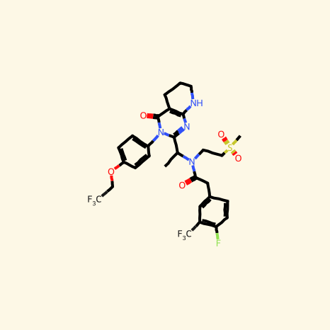 CC(c1nc2c(c(=O)n1-c1ccc(OCC(F)(F)F)cc1)CCCN2)N(CCS(C)(=O)=O)C(=O)Cc1ccc(F)c(C(F)(F)F)c1